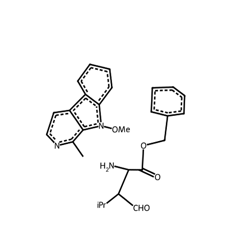 CC(C)C(C=O)C(N)C(=O)OCc1ccccc1.COn1c2ccccc2c2ccnc(C)c21